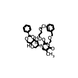 COCCO[C@@H]1[C@@H]2O[C@H](c3ccccc3)OC[C@H]2OC[C@H]1n1cc(C)c(=O)n(COCc2ccccc2)c1=O